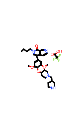 CCCCn1cc(-c2cc(OC)c(OC3CCN(CC4CCNCC4)CC3)c(OC)c2)c2ccncc2c1=O.O=C(O)C(F)(F)F